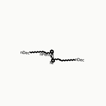 CCCCCCCCCCCCCCCCCCCCCC#CCCCc1ccccc1N=CC(CCCCC)=Nc1ccccc1CCCC#CCCCCCCCCCCCCCCCCCCCCC.[Ni]